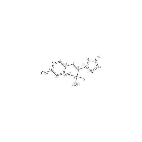 CC(C)C(C)(O)/C(=C\c1ccc(Cl)cc1)n1cncn1